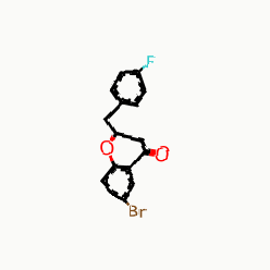 O=C1CC(Cc2ccc(F)cc2)Oc2ccc(Br)cc21